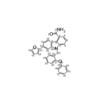 NC(=O)c1cccc2c1c1[c]cc(-c3ccco3)cc1n2Cc1ccccc1Oc1ccccc1